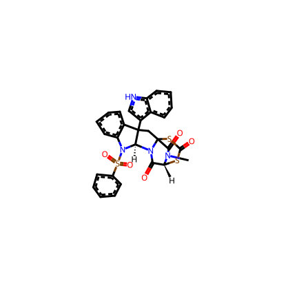 CN1C(=O)C23CC4(c5c[nH]c6ccccc56)c5ccccc5N(S(=O)(=O)c5ccccc5)[C@@H]4N2C(=O)[C@H]1SC(=O)S3